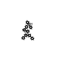 c1ccc(-c2ccc3c(c2)c2cc(-c4ccccc4)ccc2n3-c2cccc3c2oc2cccc(-c4ccc(N5c6ccccc6NC5c5ccccc5)cc4)c23)cc1